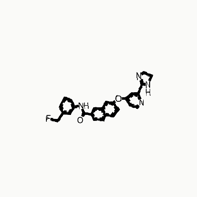 O=C(Nc1cccc(CF)c1)c1ccc2ccc(Oc3ccnc(C4=NCCN4)c3)cc2c1